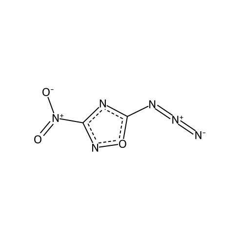 [N-]=[N+]=Nc1nc([N+](=O)[O-])no1